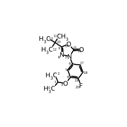 CC(C)Oc1cc(-n2nc(C(C)(C)C)oc2=O)ccc1F